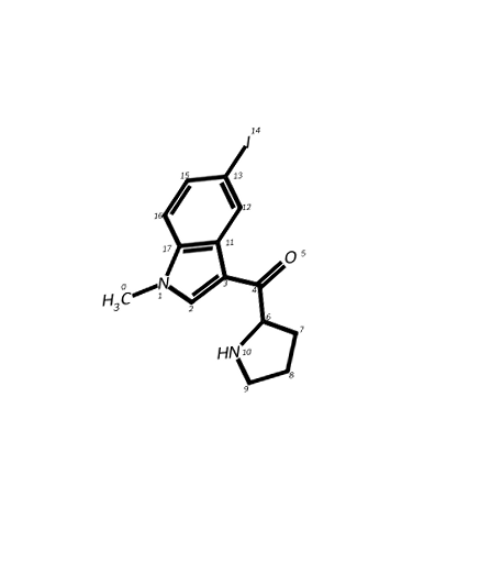 Cn1cc(C(=O)C2CCCN2)c2cc(I)ccc21